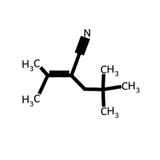 CC(C)=C(C#N)CC(C)(C)C